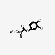 CON(C)C(=O)Oc1ccc(Cl)c(Cl)c1